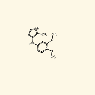 COc1ccc(Nc2cc[nH]c2C)cc1OC